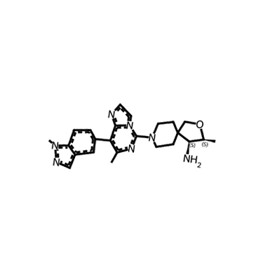 Cc1nc(N2CCC3(CC2)CO[C@@H](C)[C@H]3N)n2ccnc2c1-c1ccc2c(cnn2C)c1